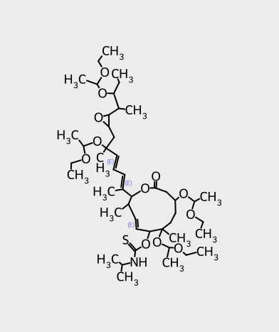 CCOC(C)OC1CCC(C)(OC(C)OCC)C(OC(=S)NC(C)C)/C=C/C(C)C(/C(C)=C/C=C/C(C)(CC2OC2C(C)C(CC)OC(C)OCC)OC(C)OCC)OC(=O)C1